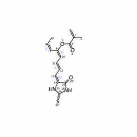 C=C(C)C(=O)OC(/C=C\C)=C/C=C/C=C1/NC(=S)NC1=O